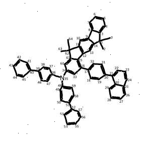 CC1(C)c2ccccc2-c2cc3c(cc21)-c1c(-c2ccc(-c4cccc5ccccc45)cc2)cc(N(c2ccc(-c4ccccc4)cc2)c2ccc(-c4ccccc4)cc2)cc1C3(C)C